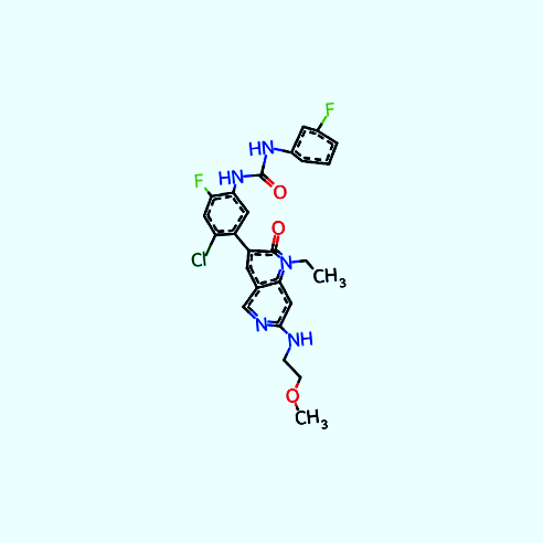 CCn1c(=O)c(-c2cc(NC(=O)Nc3cccc(F)c3)c(F)cc2Cl)cc2cnc(NCCOC)cc21